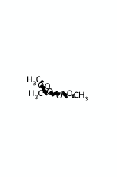 CCOCCOCCOC=C(C)C(=O)OCC